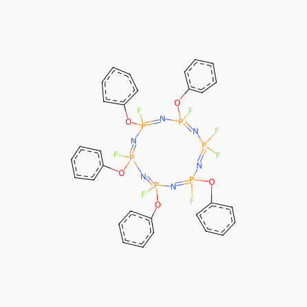 FP1(F)=NP(F)(Oc2ccccc2)=NP(F)(Oc2ccccc2)=NP(F)(Oc2ccccc2)=NP(F)(Oc2ccccc2)=NP(F)(Oc2ccccc2)=N1